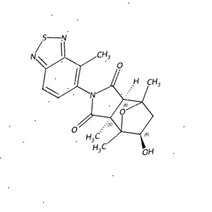 Cc1c(N2C(=O)[C@H]3C4(C)C[C@@H](O)C(C)(O4)[C@@]3(C)C2=O)ccc2nsnc12